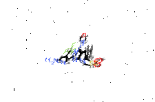 Nc1cc(C(F)(F)F)c(-c2nc(N3CCOCC3)c3c(n2)N2CCS(=O)(=O)C[C@@H]2C3)cn1